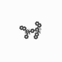 c1ccc(-c2nc(-c3ccc(-c4cc5c(sc6ccc7ccccc7c65)c5nc6cc7ccccc7cc6n45)cc3)nc(-c3ccc4ccccc4c3)n2)cc1